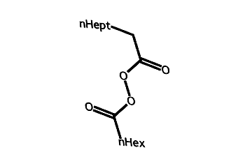 CCCCCCCCC(=O)OOC(=O)CCCCCC